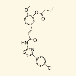 CCCC(=O)Oc1cc(C=CC(=O)Nc2nc(-c3ccc(Cl)cc3)cs2)ccc1OC